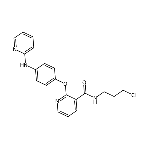 O=C(NCCCCl)c1cccnc1Oc1ccc(Nc2ccccn2)cc1